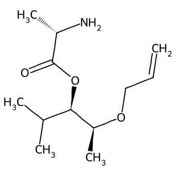 C=CCO[C@@H](C)[C@H](OC(=O)[C@H](C)N)C(C)C